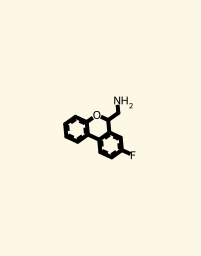 NCC1Oc2ccccc2-c2ccc(F)cc21